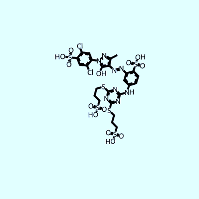 Cc1nn(-c2cc(Cl)c(S(=O)(=O)O)cc2Cl)c(O)c1/N=N/c1cc(Nc2nc(SCCCS(=O)(=O)O)nc(SCCCS(=O)(=O)O)n2)ccc1S(=O)(=O)O